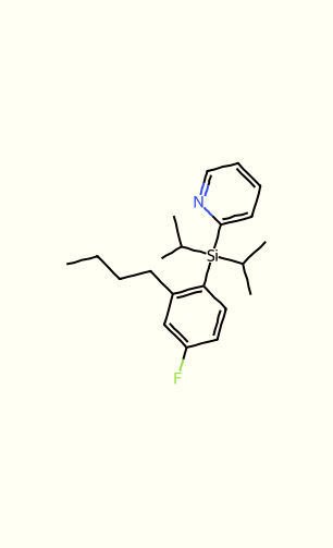 CCCCc1cc(F)ccc1[Si](c1ccccn1)(C(C)C)C(C)C